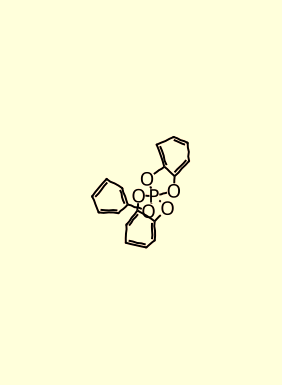 c1ccc(OP23(Oc4ccccc4O2)Oc2ccccc2O3)cc1